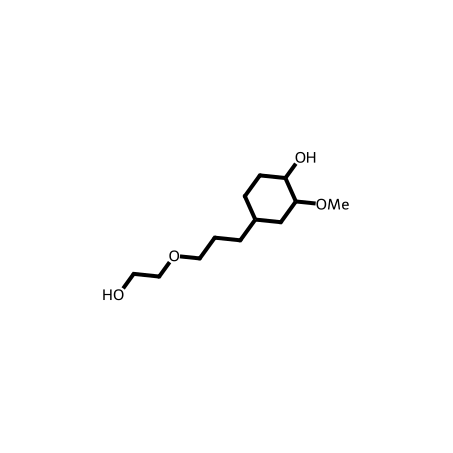 COC1CC(CCCOCCO)CCC1O